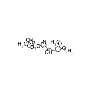 COc1ccc(CC[C@@H](O)c2cncc(OCC(=O)OC(C)(C)C)c2)cc1OC